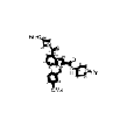 COc1cccc(Cn2c(C(=O)NC3CCN(C(C)C)CC3)cc3c(C(=O)N4CC(OC)C4)cccc32)c1